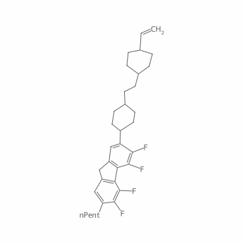 C=CC1CCC(CCC2CCC(c3cc4c(c(F)c3F)-c3c(cc(CCCCC)c(F)c3F)C4)CC2)CC1